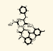 COc1cc(C)cc(OC)c1C1=NC(NC(=O)C(Cc2ccccc2)NC(=O)OC(C)(C)C)C(=O)N(C)c2ccccc21